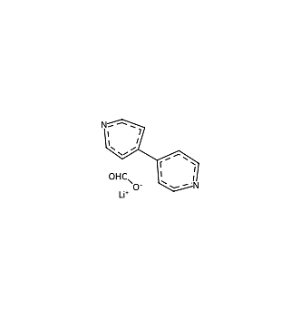 O=C[O-].[Li+].c1cc(-c2ccncc2)ccn1